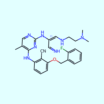 Cc1cnc(N/C(C=N)=C/NCCN(C)C)nc1Nc1cccc(OCc2ccccc2F)c1C#N